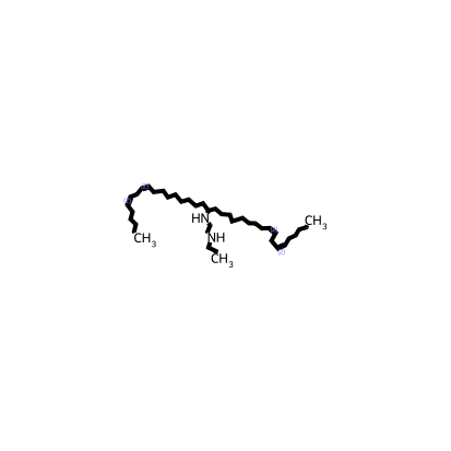 CCCCC/C=C\C/C=C\CCCCCCCCC(CCCCCCCC/C=C\C/C=C\CCCCC)NCCNCCC